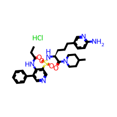 CCC(=O)Nc1c(-c2ccccc2)cncc1S(=O)(=O)N[C@@H](CCCc1ccc(N)nc1)C(=O)N1CCC(C)CC1.Cl